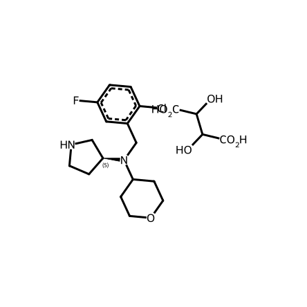 Fc1ccc(Cl)c(CN(C2CCOCC2)[C@H]2CCNC2)c1.O=C(O)C(O)C(O)C(=O)O